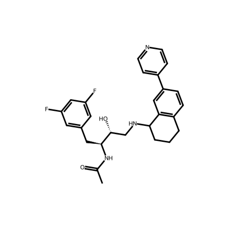 CC(=O)N[C@@H](Cc1cc(F)cc(F)c1)[C@H](O)CNC1CCCc2ccc(-c3ccncc3)cc21